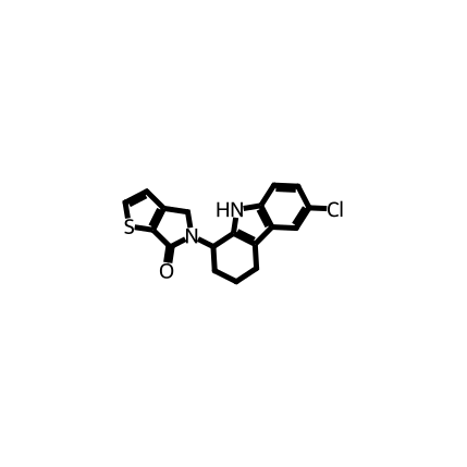 O=C1c2sccc2CN1C1CCCc2c1[nH]c1ccc(Cl)cc21